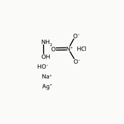 Cl.NO.O=[N+]([O-])[O-].[Ag+].[Na+].[OH-]